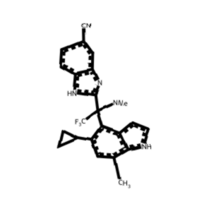 CNC(c1nc2cc(C#N)ccc2[nH]1)(c1c(C2CC2)cc(C)c2[nH]ccc12)C(F)(F)F